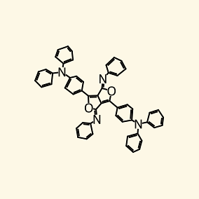 c1ccc(/N=C2\OC(c3ccc(N(c4ccccc4)c4ccccc4)cc3)=C3C2=C(c2ccc(N(c4ccccc4)c4ccccc4)cc2)O/C3=N\c2ccccc2)cc1